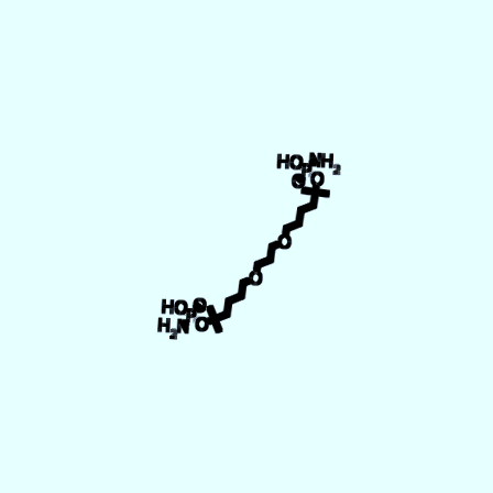 CC(C)(CCCCOCCCOCCCCC(C)(C)OP(N)(=O)O)OP(N)(=O)O